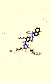 COc1cc(NNc2ccc3ccccc3c2S(=O)(=O)O)c(C)cc1NC1=NC(SCCCS(=O)(=O)O)NC(SCCCS(=O)(=O)O)N1